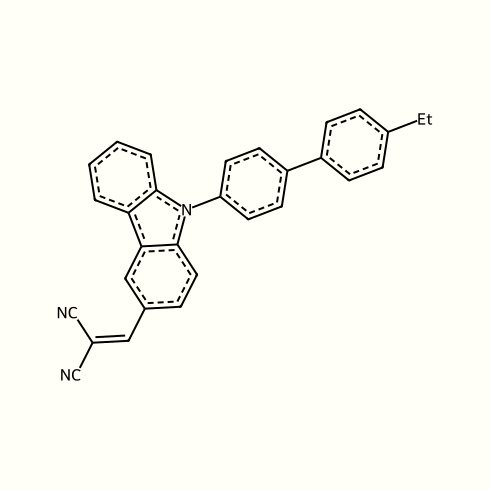 CCc1ccc(-c2ccc(-n3c4ccccc4c4cc(C=C(C#N)C#N)ccc43)cc2)cc1